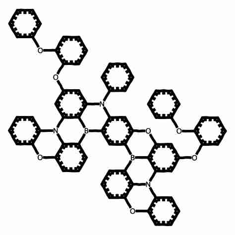 c1ccc(Oc2ccccc2Oc2cc3c4c(c2)N2c5ccccc5Oc5cccc(c52)B4c2cc4c(cc2O3)N(c2ccccc2)c2cc(Oc3ccccc3Oc3ccccc3)cc3c2B4c2cccc4c2N3c2ccccc2O4)cc1